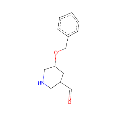 O=CC1CNCC(OCc2ccccc2)C1